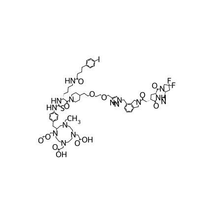 CCN1CCN(CC(=O)O)CCN(CC(=O)O)CCN(COC=O)C(Cc2ccc(NC(=S)N[C@H](CCCCNC(=O)CCCc3ccc(I)cc3)C(=O)N3CCC(CCOCCOCc4cn(Cc5cccc6c5CN(C(=O)C[C@@H]5C[C@@H](C(=O)N7CC(F)(F)C[C@H]7C#N)NC5=O)C6)nn4)CC3)cc2)C1